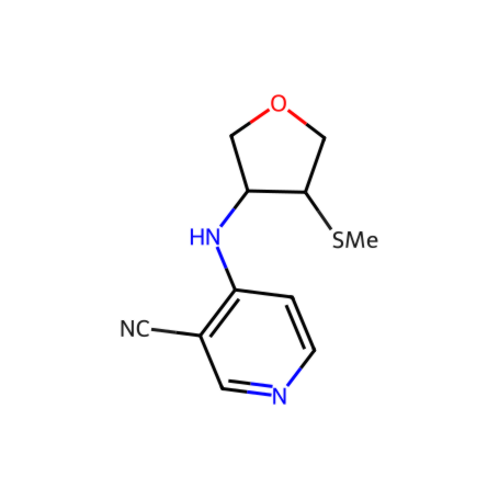 CSC1COCC1Nc1ccncc1C#N